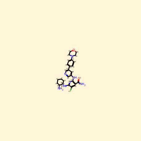 NC(=O)c1cc(F)c(N[C@@H]2CCCC[C@@H]2N)nc1Nc1cncc(-c2ccc(N3CCOCC3)cc2)c1